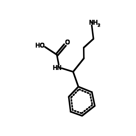 NCCCC(NC(=O)O)c1ccccc1